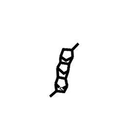 CC1CC2CC1C1C3CC(C21)C1C2SC(CC2C)C31